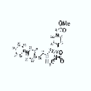 COC(=O)CN1CCN(C2OC(=O)N(C)C2CCCCN2CCN(C3CCCCC3)CC2)CC1